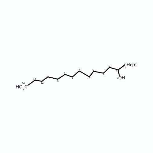 CCCCCCCC(O)CCCCCCCCCCCC(=O)O